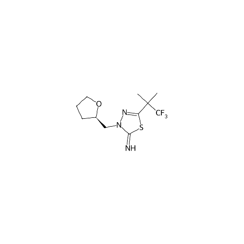 CC(C)(c1nn(C[C@H]2CCCO2)c(=N)s1)C(F)(F)F